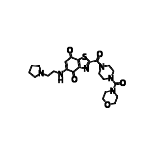 O=C1C(NCCN2CCCC2)=CC(=O)c2sc(C(=O)N3CCN(C(=O)N4CCOCC4)CC3)nc21